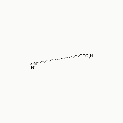 O=C(O)CCCCCCCCCCCCCCCCCCCn1ccnc1